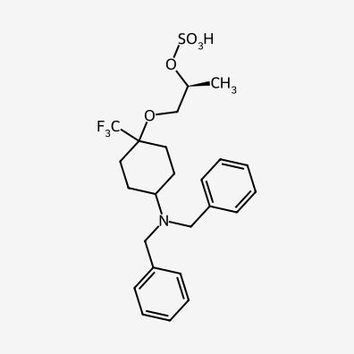 C[C@@H](COC1(C(F)(F)F)CCC(N(Cc2ccccc2)Cc2ccccc2)CC1)OS(=O)(=O)O